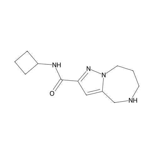 O=C(NC1CCC1)c1cc2n(n1)CCCNC2